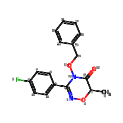 CC1ON=C(c2ccc(F)cc2)N(OCc2ccccc2)C1=O